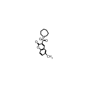 Cc1ccc2oc(=O)c(S(=O)(=O)N3CCCCCC3)cc2c1